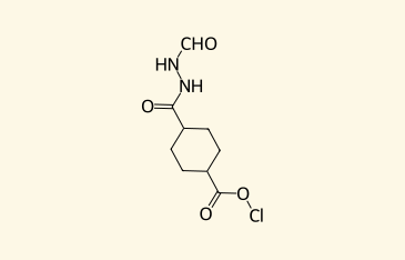 O=CNNC(=O)C1CCC(C(=O)OCl)CC1